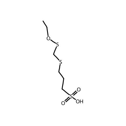 CCOSCSCCCS(=O)(=O)O